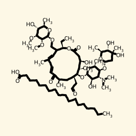 CCCCCCCCCCCCCCCCCC(=O)O.CC[C@H]1OC(=O)C[C@@H](O)[C@H](C)[C@@H](O[C@@H]2O[C@H](C)[C@@H](O[C@H]3C[C@@](C)(O)[C@@H](O)[C@H](C)O3)[C@H](N(C)C)[C@H]2O)[C@@H](CC=O)C[C@@H](C)C(=O)/C=C/C(C)=C/C1CO[C@@H]1O[C@H](C)[C@@H](O)[C@@H](OC)[C@H]1OC